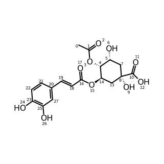 CC(=O)O[C@@H]1[C@H](O)C[C@@](O)(C(=O)O)C[C@H]1OC(=O)/C=C/c1ccc(O)c(O)c1